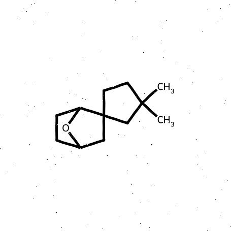 CC1(C)CCC2(CC3CCC2O3)C1